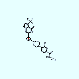 CNC(=O)c1ccc(N2CCC(N3CC4(c5nn6ccc(C(F)(F)F)c6c(=O)[nH]5)CC3C4)CC2)c(F)n1